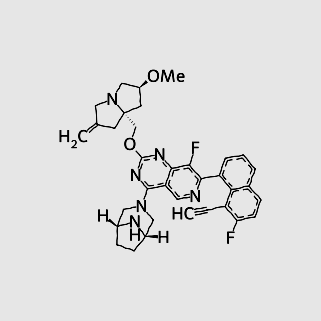 C#Cc1c(F)ccc2cccc(-c3ncc4c(N5C[C@H]6CC[C@@H](C5)N6)nc(OC[C@]56CC(=C)CN5C[C@@H](OC)C6)nc4c3F)c12